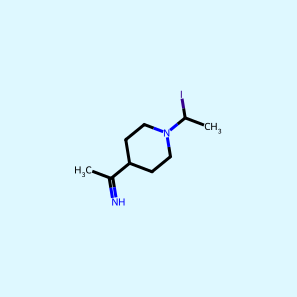 CC(=N)C1CCN(C(C)I)CC1